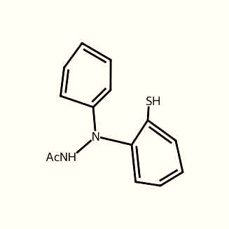 CC(=O)NN(c1ccccc1)c1ccccc1S